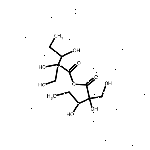 CCC(O)C(O)(CO)C(=O)OC(=O)C(O)(CO)C(O)CC